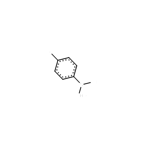 CN(C=O)c1ccc(F)cc1